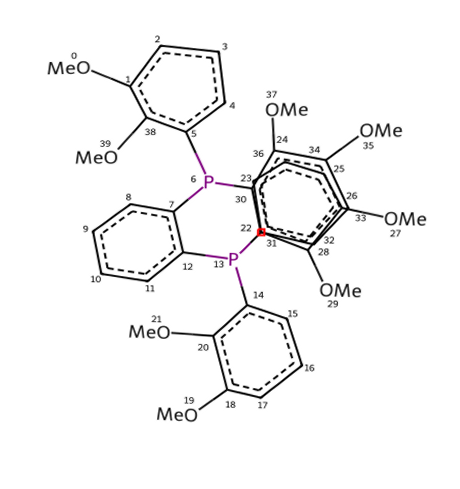 COc1cccc(P(c2ccccc2P(c2cccc(OC)c2OC)c2cccc(OC)c2OC)c2cccc(OC)c2OC)c1OC